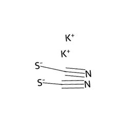 N#C[S-].N#C[S-].[K+].[K+]